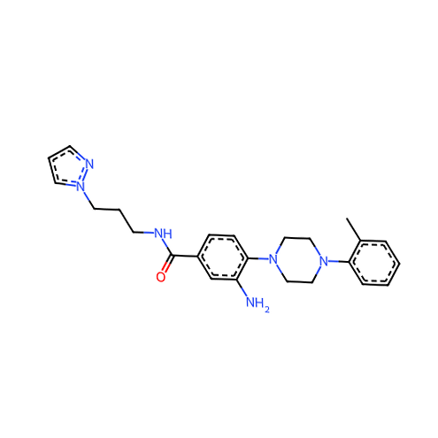 Cc1ccccc1N1CCN(c2ccc(C(=O)NCCCn3cccn3)cc2N)CC1